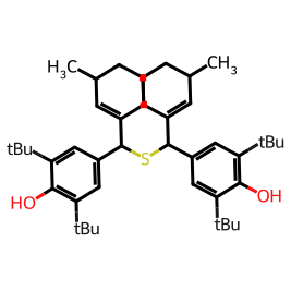 CC1C=C(C(SC(C2=CC(C)CCC2)c2cc(C(C)(C)C)c(O)c(C(C)(C)C)c2)c2cc(C(C)(C)C)c(O)c(C(C)(C)C)c2)CCC1